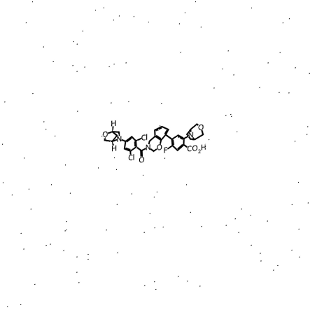 O=C(O)c1cc(F)c(-c2cccc3c2OCN(C(=O)c2c(Cl)cc(N4C[C@@H]5C[C@H]4CO5)cc2Cl)C3)cc1N1C2CCC1COC2